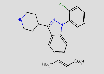 Clc1ccccc1-n1nc(C2CCNCC2)c2ccccc21.O=C(O)C=CC(=O)O